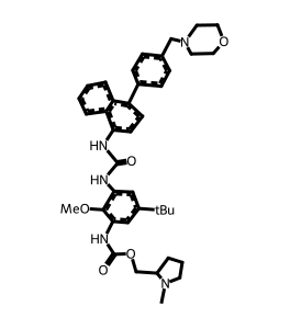 COc1c(NC(=O)Nc2ccc(-c3ccc(CN4CCOCC4)cc3)c3ccccc23)cc(C(C)(C)C)cc1NC(=O)OCC1CCCN1C